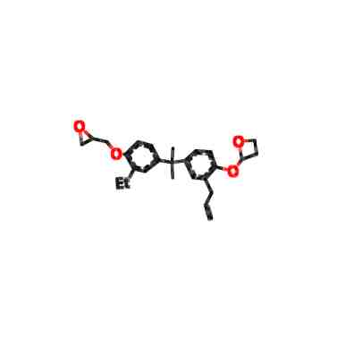 C=CCc1cc(C(C)(C)c2ccc(OCC3CO3)c(CC)c2)ccc1OC1CCO1